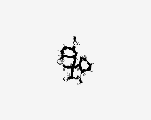 COc1ccc2c(c1)C1(CO2)C(=O)N(C)c2ccccc21